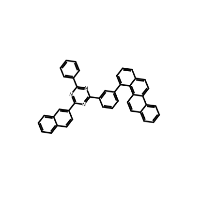 c1ccc(-c2nc(-c3cccc(-c4cccc5ccc6c7ccccc7ccc6c45)c3)nc(-c3ccc4ccccc4c3)n2)cc1